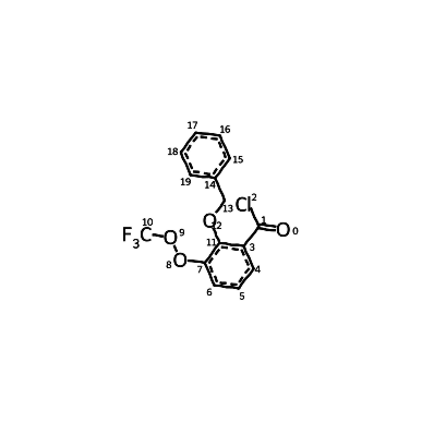 O=C(Cl)c1cccc(OOC(F)(F)F)c1OCc1ccccc1